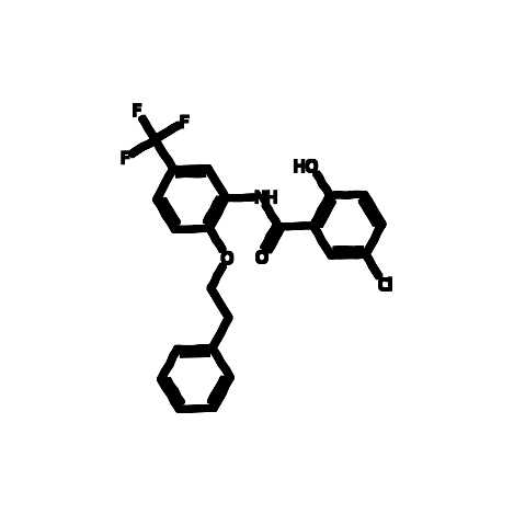 O=C(Nc1cc(C(F)(F)F)ccc1OCCc1ccccc1)c1cc(Cl)ccc1O